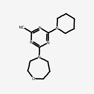 N#Cc1nc(N2CCCCC2)nc(N2CCCOCC2)n1